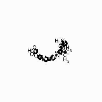 CC(C)Oc1cc2nc(N3CCN(CC4CCN(c5ccc(OC6CCC(=O)NC6=O)cc5)CC4)CC3)sc2cc1C(=O)Nc1cccn(C)c1=O